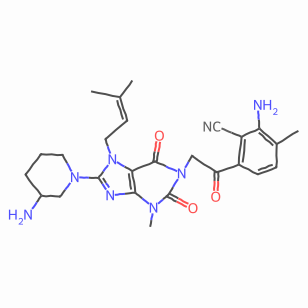 CC(C)=CCn1c(N2CCCC(N)C2)nc2c1c(=O)n(CC(=O)c1ccc(C)c(N)c1C#N)c(=O)n2C